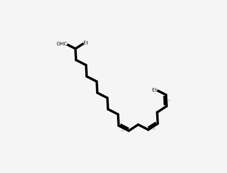 CC/C=C\C/C=C\C/C=C\CCCCCCCCC(C=O)CC